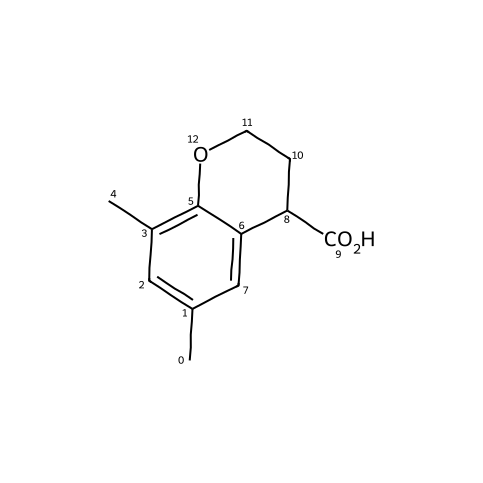 Cc1cc(C)c2c(c1)C(C(=O)O)CCO2